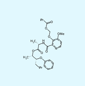 COc1ccnc(C(=O)N[C@@H](C)C(=O)O[C@@H](C)[C@@H](CC(C)C)Oc2ccccc2)c1OCOC(=O)C(C)C